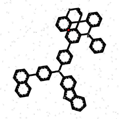 c1ccc([SiH]2c3ccccc3C3(c4ccccc4Sc4ccccc43)c3ccc(-c4ccc(N(c5ccc(-c6cccc7ccccc67)cc5)c5ccc6c(c5)oc5ccccc56)cc4)cc32)cc1